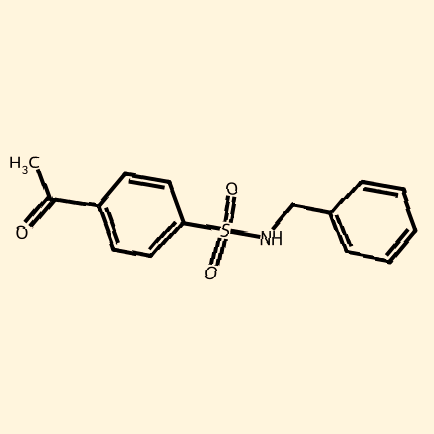 CC(=O)c1ccc(S(=O)(=O)NCc2ccccc2)cc1